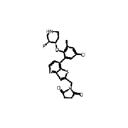 Cc1cc(Cl)cc(-c2ccnc3cc(CN4C(=O)CCC4=O)sc23)c1O[C@@H]1CCNC[C@@H]1F